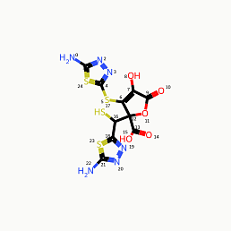 Nc1nnc(SC2=C(O)C(=O)OC2(C(=O)O)C(S)c2nnc(N)s2)s1